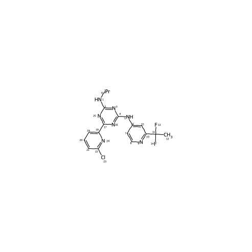 CC(C)Nc1nc(Nc2ccnc(C(C)(F)F)c2)nc(-c2cccc(Cl)n2)n1